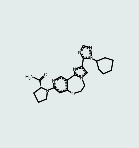 NC(=O)[C@@H]1CCCN1c1cc2c(cn1)-c1nc(-c3ncnn3C3CCCCC3)cn1CCO2